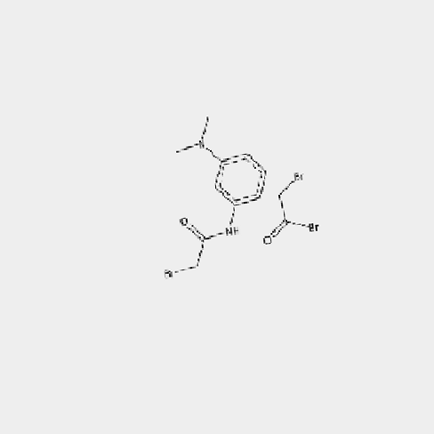 CN(C)c1cccc(NC(=O)CBr)c1.O=C(Br)CBr